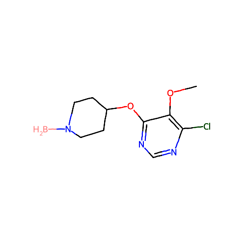 BN1CCC(Oc2ncnc(Cl)c2OC)CC1